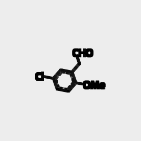 COc1ccc(Cl)cc1CC=O